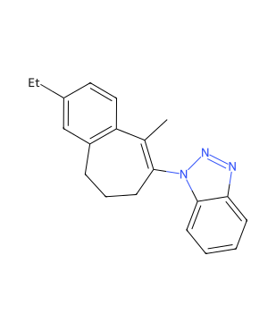 CCc1ccc2c(c1)CCCC(n1nnc3ccccc31)=C2C